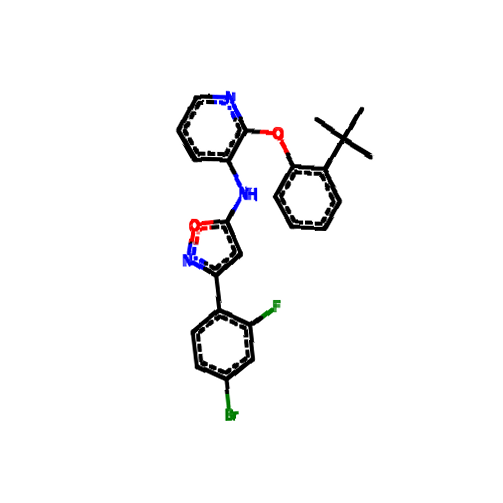 CC(C)(C)c1ccccc1Oc1ncccc1Nc1cc(-c2ccc(Br)cc2F)no1